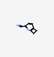 N#Cc1ccc2c(n1)CC2